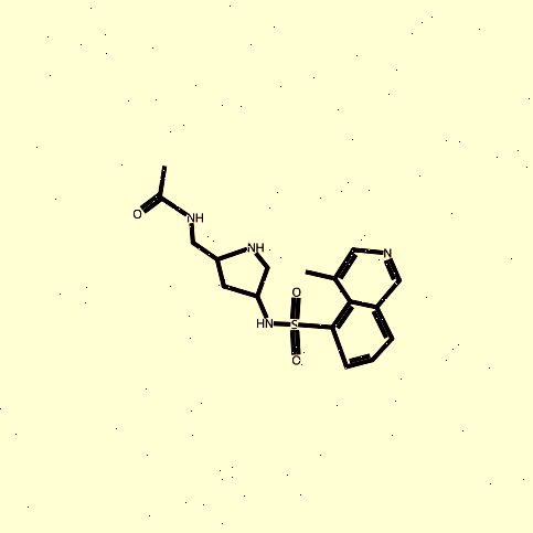 CC(=O)NCC1CC(NS(=O)(=O)c2cccc3cncc(C)c23)CN1